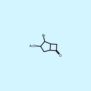 CC(=O)OC1CC2C(=O)CC2C1Br